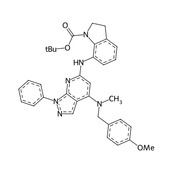 COc1ccc(CN(C)c2cc(Nc3cccc4c3N(C(=O)OC(C)(C)C)CC4)nc3c2cnn3-c2ccccc2)cc1